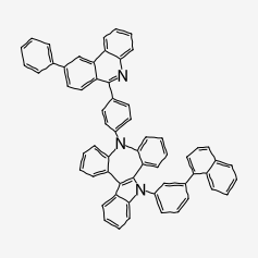 c1ccc(-c2ccc3c(-c4ccc(N5c6ccccc6-c6c(n(-c7cccc(-c8cccc9ccccc89)c7)c7ccccc67)-c6ccccc65)cc4)nc4ccccc4c3c2)cc1